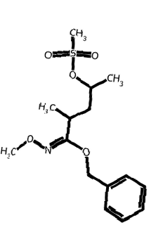 CON=C(OCc1ccccc1)C(C)CC(C)OS(C)(=O)=O